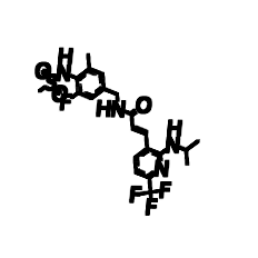 Cc1cc(CNC(=O)C=Cc2ccc(C(F)(F)F)nc2NC(C)C)cc(F)c1NS(C)(=O)=O